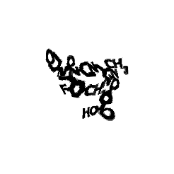 Cc1ccc(F)c(C2CN(C3CCOCC3)C(=O)N2C2CCN(Cc3cnc(Oc4ccc(C(=O)O)cc4)nc3C)CC2)c1